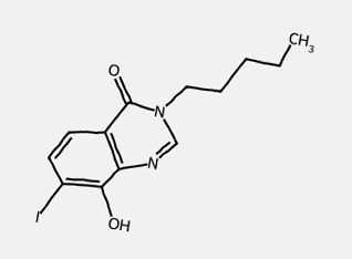 CCCCCn1cnc2c(O)c(I)ccc2c1=O